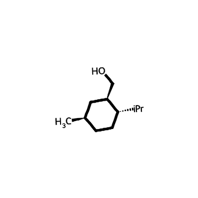 CC(C)[C@@H]1CC[C@@H](C)C[C@H]1CO